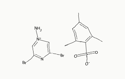 Cc1cc(C)c(S(=O)(=O)[O-])c(C)c1.N[n+]1cc(Br)nc(Br)c1